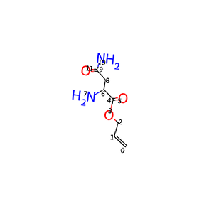 C=CCOC(=O)C(N)CC(N)=O